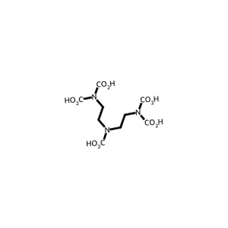 O=C(O)N(CCN(C(=O)O)C(=O)O)CCN(C(=O)O)C(=O)O